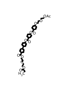 C=CC(=O)OCCOCCOC(=O)c1ccc(-c2ccc(OC(=O)c3ccc(OC(=O)c4ccc(OCCOCCOC(C)=O)cc4)cc3)cc2)cc1